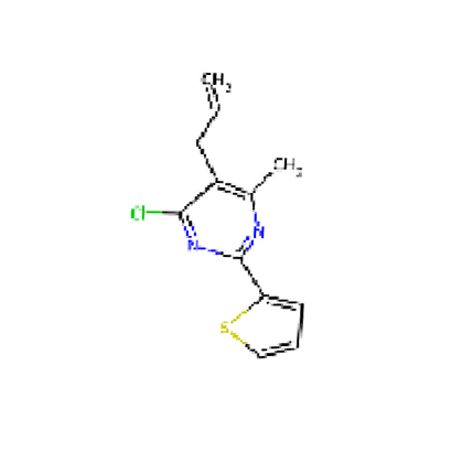 C=CCc1c(C)nc(-c2cccs2)nc1Cl